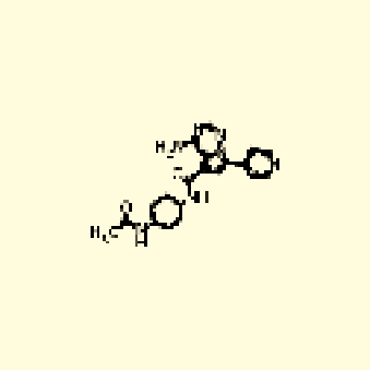 CC(=O)N[C@H]1CC[C@H](NC(=O)c2cc(-c3ccncc3)n3ncnc(N)c23)CC1